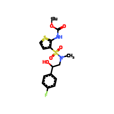 CN(CC(O)c1ccc(F)cc1)S(=O)(=O)c1ccsc1NC(=O)OC(C)(C)C